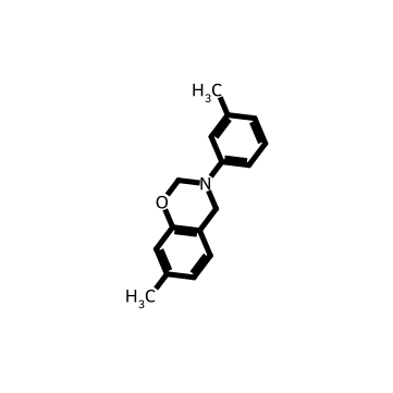 Cc1cccc(N2COc3cc(C)ccc3C2)c1